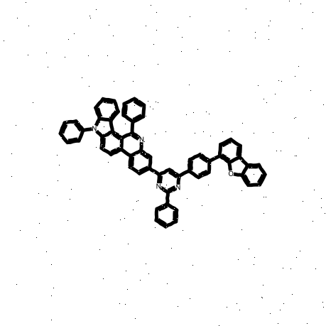 c1ccc(-c2nc(-c3ccc(-c4cccc5c4oc4ccccc45)cc3)cc(-c3ccc4c(c3)nc(-c3ccccc3)c3c4ccc4c3c3ccccc3n4-c3ccccc3)n2)cc1